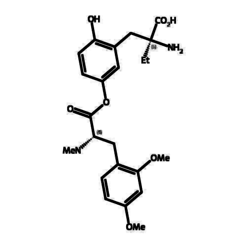 CC[C@](N)(Cc1cc(OC(=O)[C@H](Cc2ccc(OC)cc2OC)NC)ccc1O)C(=O)O